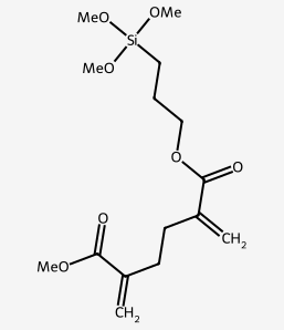 C=C(CCC(=C)C(=O)OCCC[Si](OC)(OC)OC)C(=O)OC